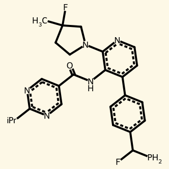 CC(C)c1ncc(C(=O)Nc2c(-c3ccc(C(F)P)cc3)ccnc2N2CCC(C)(F)C2)cn1